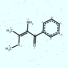 CSC(C)=C(N)C(=O)c1cccnc1